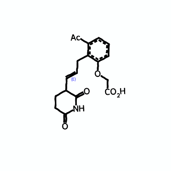 CC(=O)c1cccc(OCC(=O)O)c1C/C=C/C1CCC(=O)NC1=O